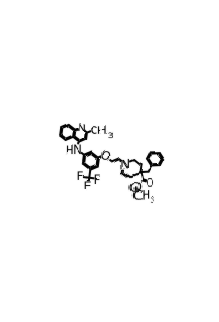 COC(=O)C1(Cc2ccccc2)CCN(CCOc2cc(Nc3cc(C)nc4ccccc34)cc(C(F)(F)F)c2)CC1